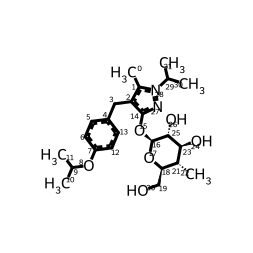 Cc1c(Cc2ccc(OC(C)C)cc2)c(O[C@@H]2O[C@H](CO)[C@@H](C)[C@H](O)[C@H]2O)nn1C(C)C